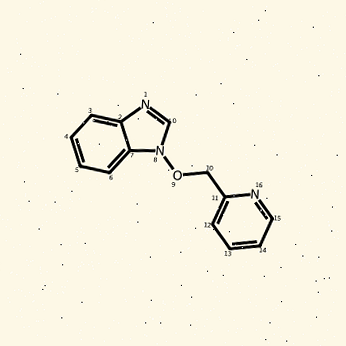 [c]1nc2ccccc2n1OCc1ccccn1